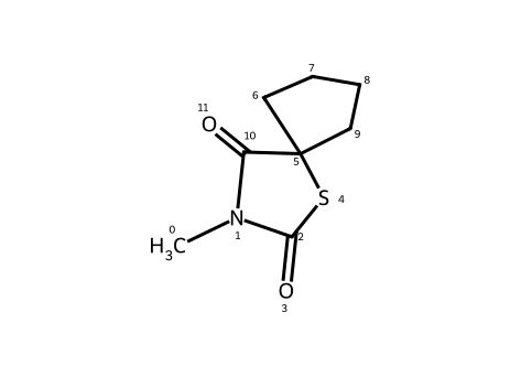 CN1C(=O)SC2(CCCC2)C1=O